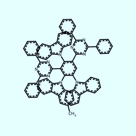 Cc1ccc2c(c1)c1ccccc1n2-c1c(-n2c3ccccc3c3ccccc32)cc(-c2nc(-c3ccccc3)nc(-c3ccccc3)n2)c(-n2c3ccccc3c3ccccc32)c1-c1nc(-c2ccccc2)nc(-c2ccccc2)n1